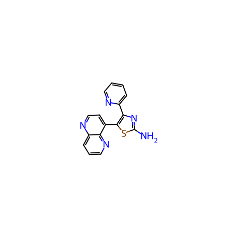 Nc1nc(-c2ccccn2)c(-c2ccnc3cccnc23)s1